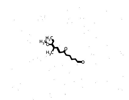 C=C/C(OC)=C(C)\C=C\C(=O)CCCCC=O